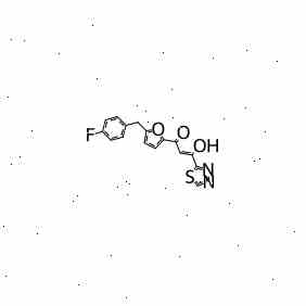 O=C(C=C(O)c1nncs1)c1ccc(Cc2ccc(F)cc2)o1